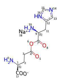 N[C@@H](CCC(=O)OC(=O)[C@@H](N)Cc1cnc[nH]1)C(=O)[O-].[Na+]